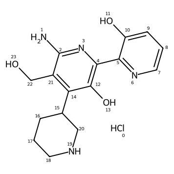 Cl.Nc1nc(-c2ncccc2O)c(O)c(C2CCCNC2)c1CO